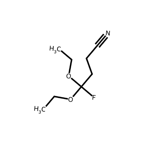 CCOC(F)(CCC#N)OCC